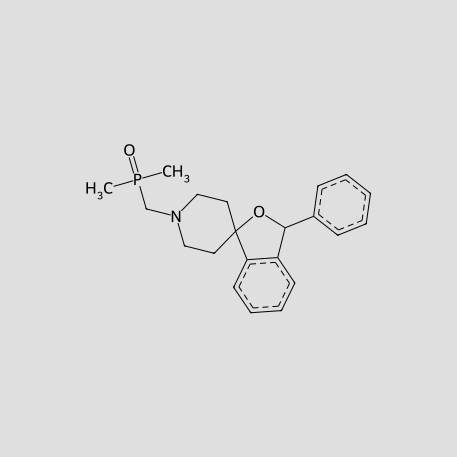 CP(C)(=O)CN1CCC2(CC1)OC(c1ccccc1)c1ccccc12